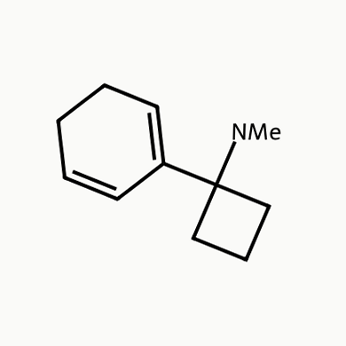 CNC1(C2=CCCC=C2)CCC1